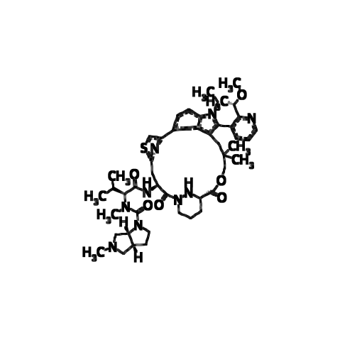 CCn1c(-c2cccnc2[C@H](C)OC)c2c3cc(ccc31)-c1csc(n1)C[C@H](NC(=O)[C@H](C(C)C)N(C)C(=O)N1CC[C@@H]3CN(C)C[C@@H]31)C(=O)N1CCC[C@](C=O)(COCC(C)(C)C2)N1